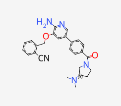 CN(C)[C@H]1CCN(C(=O)c2ccc(-c3cnc(N)c(OCc4ccccc4C#N)c3)cc2)C1